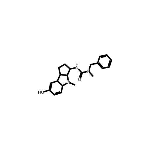 CN(Cc1ccccc1)C(=O)NC1CCC2C3C=C(O)C=CC3N(C)C12